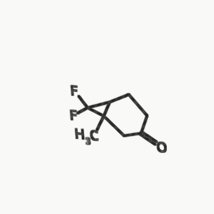 CC12CC(=O)CCC1C2(F)F